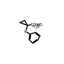 O.O.O=C(O)C1([B]c2ccccc2)CC1